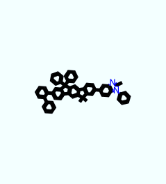 Cc1nc2cc(-c3ccc4c(c3)C(C)(C)c3cc5c(cc3-4)C(c3ccccc3)(c3ccccc3)c3cc(-c4ccccc4-c4ccccc4)ccc3-5)ccc2n1-c1ccccc1